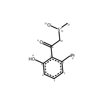 CC(C)c1cccc(O)c1C(=O)C[S+](C)[O-]